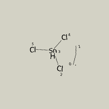 [CH2]C.[Cl][SnH]([Cl])[Cl]